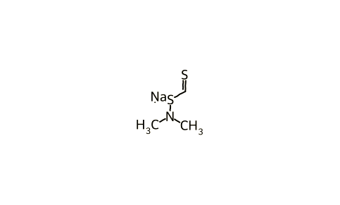 CN(C)SC=S.[Na]